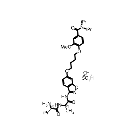 COc1cc(C(=O)N(C(C)C)C(C)C)ccc1OCCCCOc1ccc2c(NC(=O)[C@H](C)NC(=O)[C@@H](N)C(C)C)noc2c1.CS(=O)(=O)O